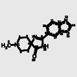 CN1CCC2(CC1)N=C(c1ccc3ncsc3c1)NC2=O